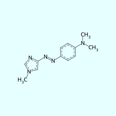 CN(C)c1ccc(N=Nc2cn(C)cn2)cc1